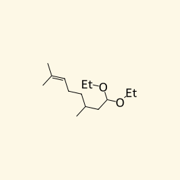 CCOC(CC(C)CCC=C(C)C)OCC